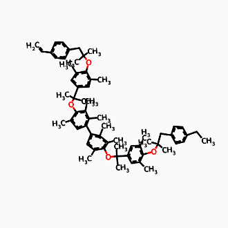 C=Cc1ccc(CC(C)(C)Oc2c(C)cc(C(C)(C)Oc3c(C)cc(-c4cc(C)c(OC(C)(C)c5cc(C)c(OC(C)(C)Cc6ccc(CC)cc6)c(C)c5)c(C)c4C)c(C)c3C)cc2C)cc1